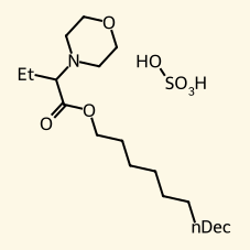 CCCCCCCCCCCCCCCCOC(=O)C(CC)N1CCOCC1.O=S(=O)(O)O